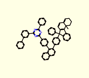 CC12CCCC=C1C=CC1=C2c2ccccc2C1(c1ccccc1)c1ccc(-c2ccc3ccccc3c2-c2ccc(-c3nc(-c4ccccc4)nc(-c4cccc(-c5ccccc5)c4)n3)cc2)cc1